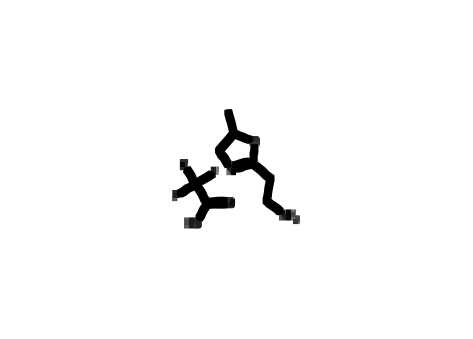 CC1CN=C(CCN)O1.O=C(O)C(F)(F)F